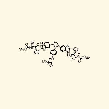 CCC1(COc2ccc(N3[C@@H](c4ccc5[nH]c([C@@H]6CCCN6C(=O)[C@@H](NC(=O)OC)C(C)C)nc5c4)CC[C@@H]3c3ccc4[nH]c([C@@H]5CCCN5C(=O)[C@@H](NC(=O)OC)C(C)C)nc4c3)cc2)COC1